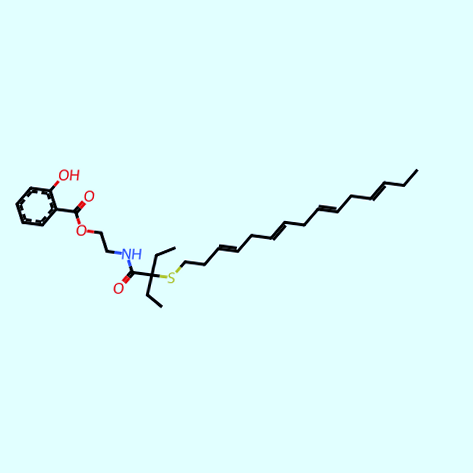 CCC=CCC=CCC=CCC=CCCSC(CC)(CC)C(=O)NCCOC(=O)c1ccccc1O